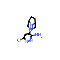 Nc1nnc(Cl)cc1N1CC2CCC(C1)N2